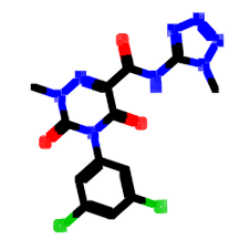 Cn1nnnc1NC(=O)c1nn(C)c(=O)n(-c2cc(Cl)cc(Cl)c2)c1=O